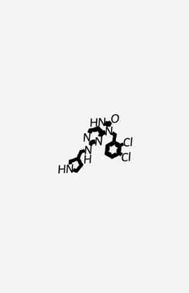 O=c1[nH]c2cnc(NCC3CCNC3)nc2n1Cc1cccc(Cl)c1Cl